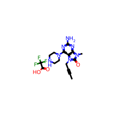 CC#CCn1c(=O)n(C)c2nc(N)nc(N3CCNCC3)c21.O=C(O)C(F)(F)F